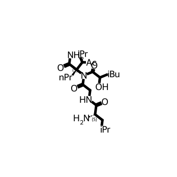 CCC[C@@](C(N)=O)(C(C(C)=O)C(C)C)N(C(=O)CNC(=O)[C@@H](N)CC(C)C)C(=O)C(O)C(C)CC